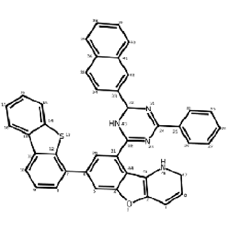 C1=Cc2oc3cc(-c4cccc5c4sc4ccccc45)cc(C4=NC(c5ccccc5)=NC(c5ccc6ccccc6c5)N4)c3c2NC1